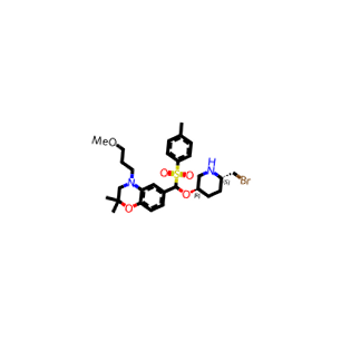 COCCCN1CC(C)(C)Oc2ccc(C(O[C@@H]3CC[C@@H](CBr)NC3)S(=O)(=O)c3ccc(C)cc3)cc21